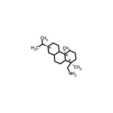 CC(C)[C@H]1CCC2C(CCC3[C@](C)(CN)CCC[C@]23C)C1